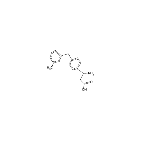 Cc1cccc(Cc2ccc(C(N)CC(=O)O)cc2)c1